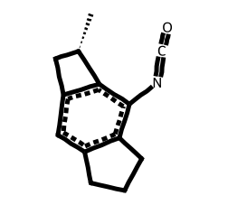 C[C@H]1Cc2cc3c(c(N=C=O)c21)CCC3